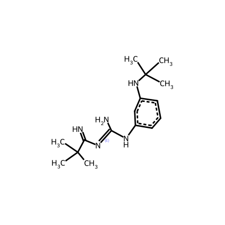 CC(C)(C)Nc1cccc(N/C(N)=N/C(=N)C(C)(C)C)c1